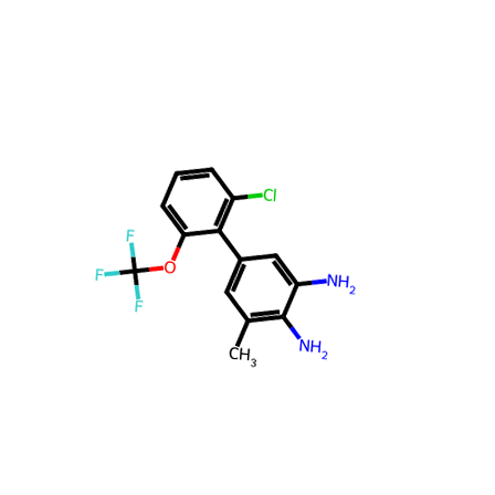 Cc1cc(-c2c(Cl)cccc2OC(F)(F)F)cc(N)c1N